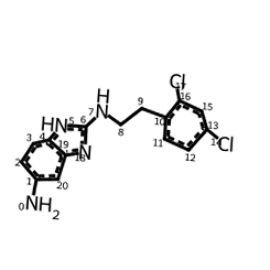 Nc1ccc2[nH]c(NCCc3ccc(Cl)cc3Cl)nc2c1